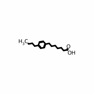 CCCCc1ccc(CCCCCCC(=O)O)cc1